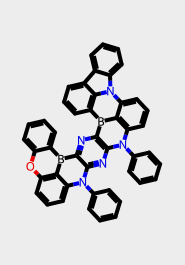 c1ccc(N2c3cccc4c3B(c3ccccc3O4)c3nc4c(nc32)N(c2ccccc2)c2cccc3c2B4c2cccc4c5ccccc5n-3c24)cc1